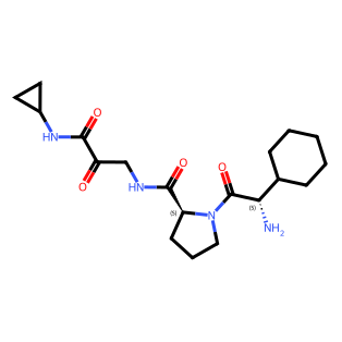 N[C@H](C(=O)N1CCC[C@H]1C(=O)NCC(=O)C(=O)NC1CC1)C1CCCCC1